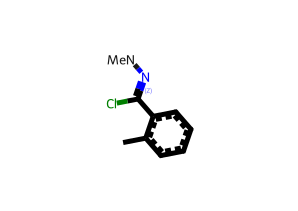 CN/N=C(\Cl)c1ccccc1C